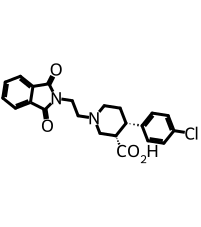 O=C(O)[C@@H]1CN(CCN2C(=O)c3ccccc3C2=O)CC[C@@H]1c1ccc(Cl)cc1